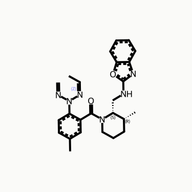 C=NN(/N=C\C)c1ccc(C)cc1C(=O)N1CCC[C@@H](C)[C@H]1CNc1nc2ccccc2o1